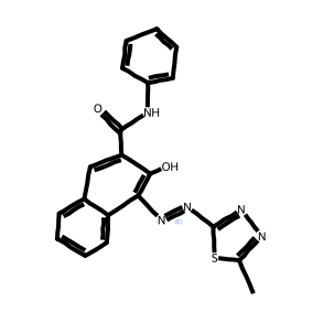 Cc1nnc(/N=N/c2c(O)c(C(=O)Nc3ccccc3)cc3ccccc23)s1